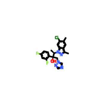 Cc1cc2c(C)nn([C@H](C)[C@](O)(Cn3cncn3)c3ccc(F)cc3F)c2cc1Cl